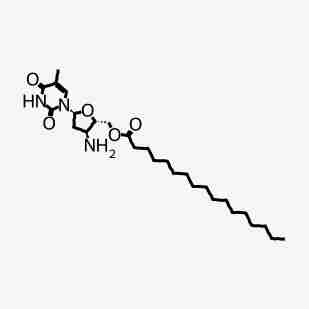 CCCCCCCCCCCCCCCCC(=O)OC[C@H]1O[C@@H](n2cc(C)c(=O)[nH]c2=O)C[C@@H]1N